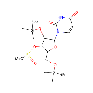 COS(=O)OC1C(CO[Si](C)(C)C(C)(C)C)OC(n2ccc(=O)[nH]c2=O)C1O[Si](C)(C)C(C)(C)C